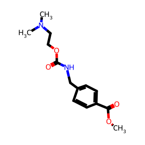 COC(=O)c1ccc(CNC(=O)OCCN(C)C)cc1